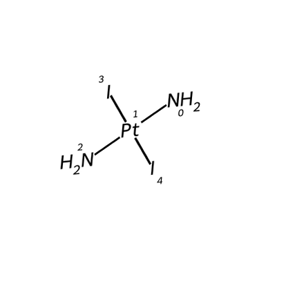 [NH2][Pt]([NH2])([I])[I]